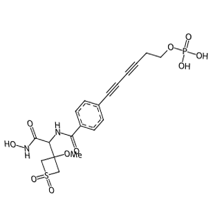 COC1(C(NC(=O)c2ccc(C#CC#CCCOP(=O)(O)O)cc2)C(=O)NO)CS(=O)(=O)C1